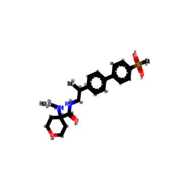 CCS(=O)(=O)c1ccc(-c2ccc(C(C#N)CNC(=O)C3(NC(=O)O)CCOCC3)cc2)cc1